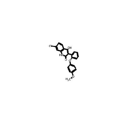 COc1ccc(Oc2ccccc2-c2c(O)c3ccc(Cl)cc3[nH]c2=O)cc1